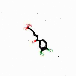 O=C(O)CC=CC(=O)c1ccc(Cl)c(Cl)c1